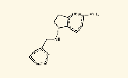 Nc1ccc2c(c1)CCC2NCc1ccccc1